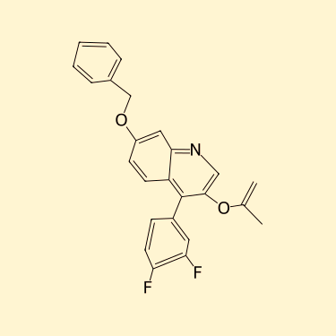 C=C(C)Oc1cnc2cc(OCc3ccccc3)ccc2c1-c1ccc(F)c(F)c1